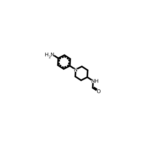 Nc1ccc(N2CCC(NC=O)CC2)cc1